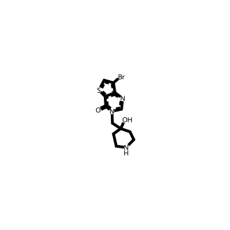 O=c1c2scc(Br)c2ncn1CC1(O)CCNCC1